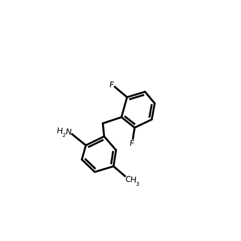 Cc1ccc(N)c(Cc2c(F)cccc2F)c1